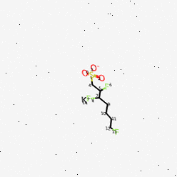 O=S(=O)([O-])CC(F)C(F)CCCCF.[K+]